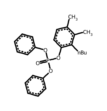 CCCCc1c(OP(=O)(Oc2ccccc2)Oc2ccccc2)ccc(C)c1C